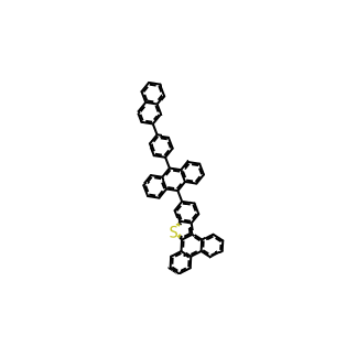 c1ccc2cc(-c3ccc(-c4c5ccccc5c(-c5ccc6c(c5)sc5c7ccccc7c7ccccc7c65)c5ccccc45)cc3)ccc2c1